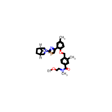 CCOCCN(C)C(=O)c1ccc(COc2ccc(C)cc2-c2csc(N3C[C@@H]4CC[C@@H](C3)C4C(=O)O)n2)c(C)c1